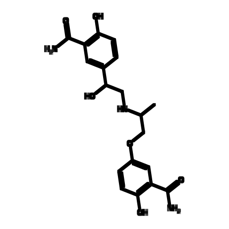 CC(COc1ccc(O)c(C(N)=O)c1)NCC(O)c1ccc(O)c(C(N)=O)c1